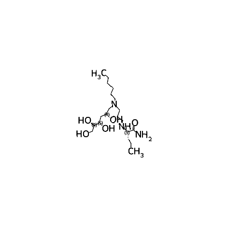 CCCCCCN(CCCN[C@@H](CCC)C(N)=O)C[C@H](O)C[C@H](O)[C@H](O)CO